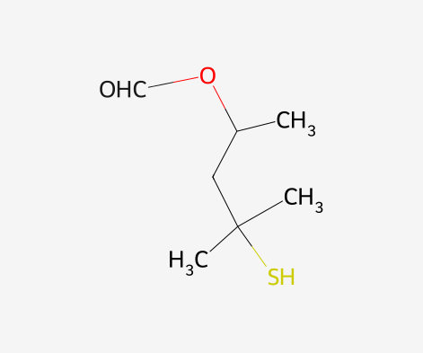 CC(CC(C)(C)S)OC=O